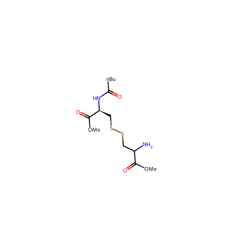 CCCCC(=O)N[C@@H](CSSCC(N)C(=O)OC)C(=O)OC